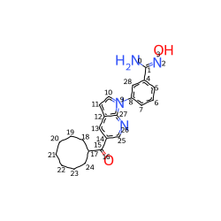 N/C(=N\O)c1cccc(-n2ccc3cc(C(=O)C4CCCCCCC4)cnc32)c1